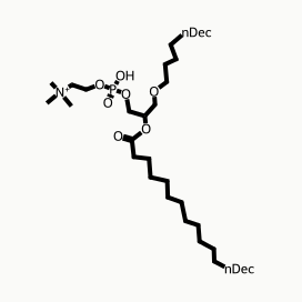 CCCCCCCCCCCCCCCCCCCCCC(=O)OC(COCCCCCCCCCCCCCC)COP(=O)(O)OCC[N+](C)(C)C